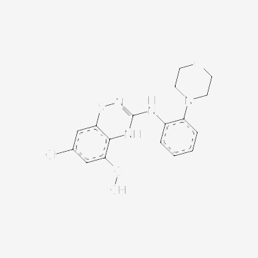 COc1cc(Cl)cc2c1NC(Nc1ccccc1N1CCOCC1)=NS2